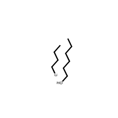 CCCCCCO.[Li][CH2]CCC